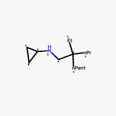 CCCCCC(CC)(CCC)CNC1CC1